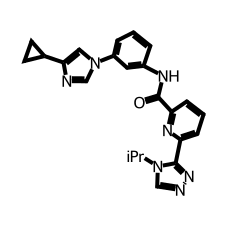 CC(C)n1cnnc1-c1cccc(C(=O)Nc2cccc(-n3cnc(C4CC4)c3)c2)n1